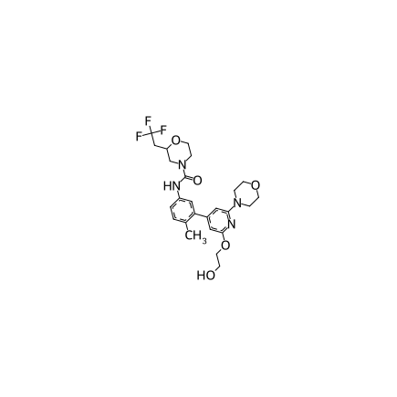 Cc1ccc(NC(=O)N2CCOC(CC(F)(F)F)C2)cc1-c1cc(OCCO)nc(N2CCOCC2)c1